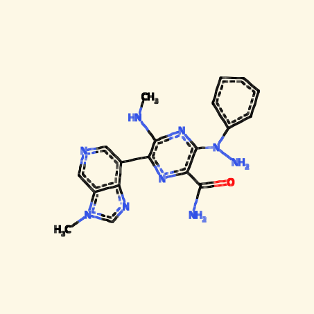 CNc1nc(N(N)c2ccccc2)c(C(N)=O)nc1-c1cncc2c1ncn2C